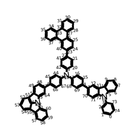 c1ccc(-n2c3ccccc3c3cc(-c4ccc(N(c5ccc(-c6ccc7c8ccccc8c8ccccc8c7c6)cc5)c5ccc(-c6ccc7c8cccc9c%10ccccc%10n(c7c6)c98)cc5)cc4)ccc32)cc1